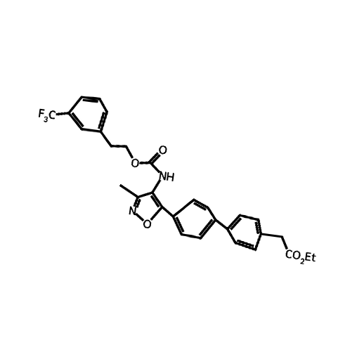 CCOC(=O)Cc1ccc(-c2ccc(-c3onc(C)c3NC(=O)OCCc3cccc(C(F)(F)F)c3)cc2)cc1